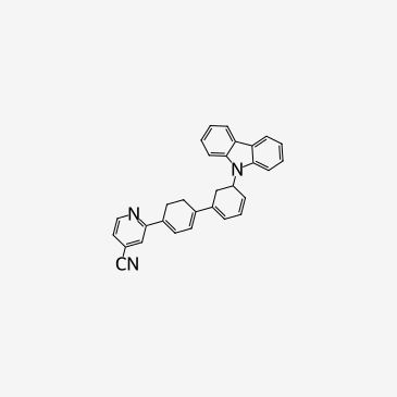 N#Cc1ccnc(C2=CC=C(C3=CC=CC(n4c5ccccc5c5ccccc54)C3)CC2)c1